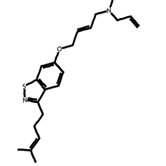 C=CCN(C)CC=CCOc1ccc2c(CCC=C(C)C)nsc2c1